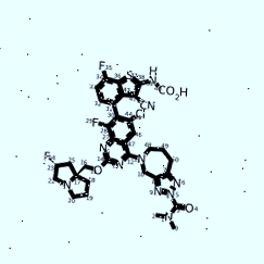 CN(C)C(=O)n1nc2c(n1)CN(c1nc(OC[C@@]34CCCN3C[C@H](F)C4)nc3c(F)c(-c4ccc(F)c5sc(NC(=O)O)c(C#N)c45)c(Cl)cc13)CCC2